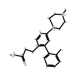 Cc1ccccc1-c1cc(N2CCN(C)CC2)ncc1CCC(N)=O